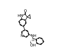 O=C1Nc2ccc(-c3cncc(N[C@@H](CO)c4ccccc4)c3)cc2C12CC2